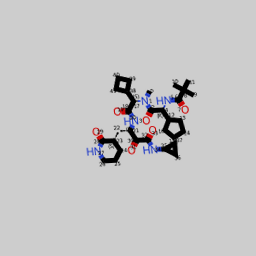 CN(C(=O)[C@H](NC(=O)C(C)(C)C)C1CCCC1)[C@H](C(=O)N[C@@H](C[C@@H]1CCCNC1=O)C(=O)C(=O)NC1CC1)C1CCC1